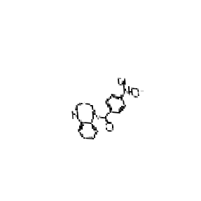 O=C(c1ccc([N+](=O)[O-])cc1)N1CCC=Nc2ccccc21